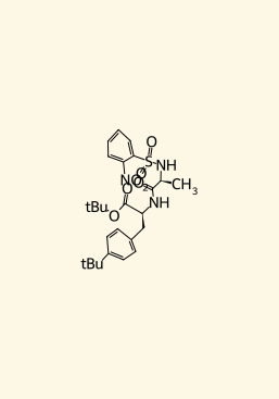 C[C@H](NS(=O)(=O)c1ccccc1[N+](=O)[O-])C(=O)N[C@@H](Cc1ccc(C(C)(C)C)cc1)C(=O)OC(C)(C)C